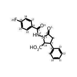 O=C(NN1C(=O)CC(c2ccccc2)C1C(=O)O)c1ccc(F)cc1